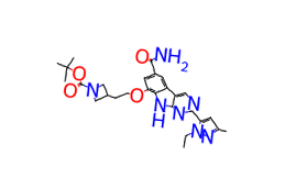 CCn1nc(C)cc1-c1ncc2c(n1)[nH]c1c(OCCC3CN(C(=O)OC(C)(C)C)C3)cc(C(N)=O)cc12